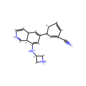 N#CC1=CC(C2=CC3C=CN=CC3C(NC3CNC3)=C2)CC=C1